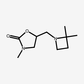 CN1CC(CN2CCC2(C)C)OC1=O